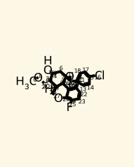 COC[C@@H]1[C@H](O)CC[C@@]2(S(=O)(=O)c3ccc(Cl)cc3)c3c(F)ccc(F)c3OC[C@@H]12